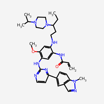 C=CC(=O)Nc1cc(Nc2nccc(-c3ccc4c(cnn4C)c3)n2)c(OC)cc1NCCC(CC)N1CCN(C(C)C)CC1